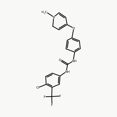 CN1C=CC(Oc2ccc(NC(=O)Nc3ccc(Cl)c(C(F)(F)F)c3)cc2)=CC1